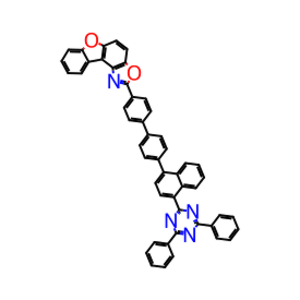 c1ccc(-c2nc(-c3ccccc3)nc(-c3ccc(-c4ccc(-c5ccc(-c6nc7c(ccc8oc9ccccc9c87)o6)cc5)cc4)c4ccccc34)n2)cc1